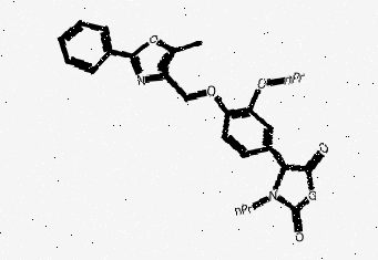 CCCOc1cc(C2C(=O)OC(=O)N2CCC)ccc1OCc1nc(-c2ccccc2)oc1C